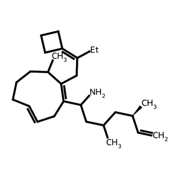 C=C[C@H](C)CC(C)CC(N)/C1=C(\CC(CC)=C2CCC2)C(C)CCC/C=C/C1